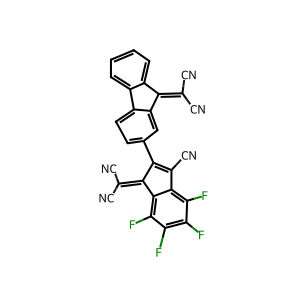 N#CC(C#N)=C1c2ccccc2-c2ccc(C3=C(C#N)c4c(F)c(F)c(F)c(F)c4C3=C(C#N)C#N)cc21